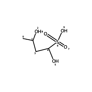 CC(O)CC(O)S(=O)(=O)O